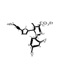 CCCCC#Cc1ccc(-c2c(C)c(C(=O)OCC)nn2-c2ccc(Cl)cc2Cl)s1